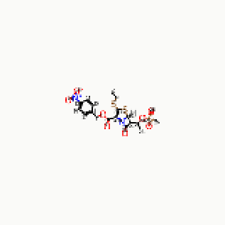 CCSC1=C(C(=O)OCc2ccc([N+](=O)[O-])cc2)N2C(=O)C(C(C)OS(C)(=O)=O)[C@H]2S1